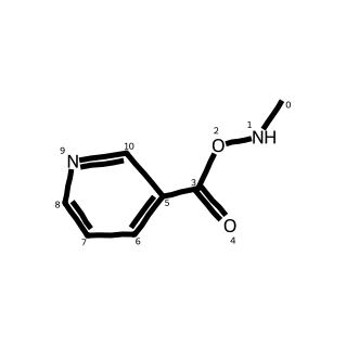 CNOC(=O)c1cccnc1